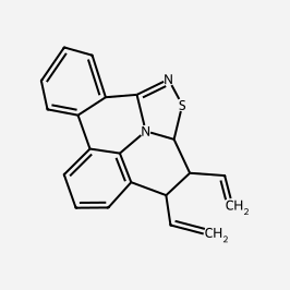 C=CC1c2cccc3c2N2C(=NSC2C1C=C)c1ccccc1-3